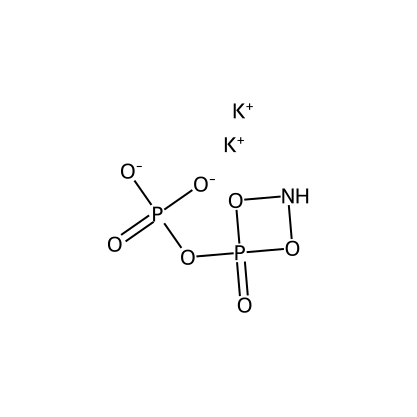 O=P([O-])([O-])OP1(=O)ONO1.[K+].[K+]